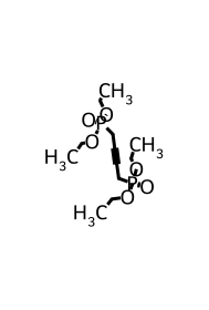 CCOP(=O)(CC#CCP(=O)(OCC)OCC)OCC